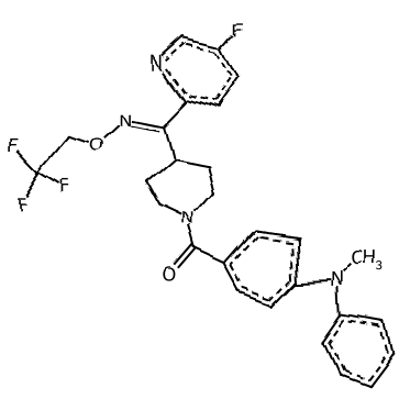 CN(c1ccccc1)c1ccc(C(=O)N2CCC(/C(=N\OCC(F)(F)F)c3ccc(F)cn3)CC2)cc1